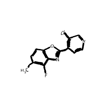 Cc1ccc2oc(-c3ccncc3Cl)nc2c1F